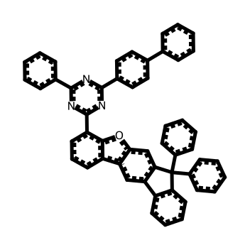 c1ccc(-c2ccc(-c3nc(-c4ccccc4)nc(-c4cccc5c4oc4cc6c(cc45)-c4ccccc4C6(c4ccccc4)c4ccccc4)n3)cc2)cc1